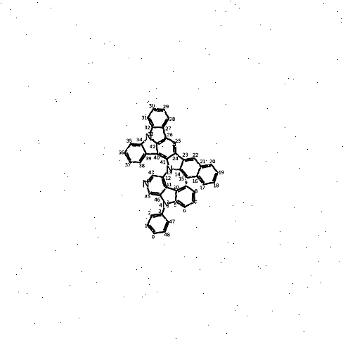 c1ccc(-n2c3ccccc3c3c(-n4c5cc6ccccc6cc5c5cc6c7ccccc7n7c8ccccc8c(c54)c67)cncc32)cc1